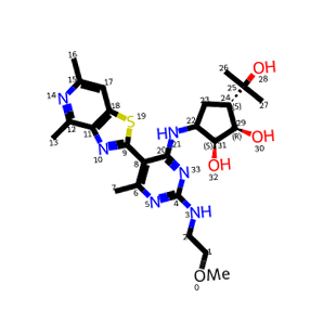 COCCNc1nc(C)c(-c2nc3c(C)nc(C)cc3s2)c(NC2C[C@H](C(C)(C)O)[C@@H](O)[C@H]2O)n1